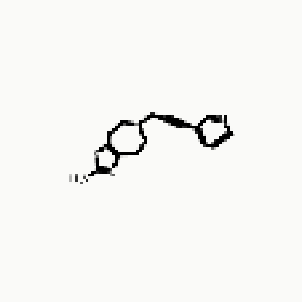 Nc1nc2c(s1)CCN(CC#Cc1cccnc1)CC2